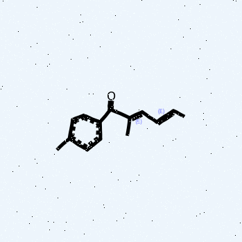 C/C=C/C=C(\C)C(=O)c1ccc(C)cc1